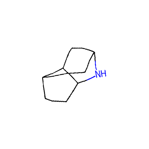 C1CC2NC3CC1C2C3